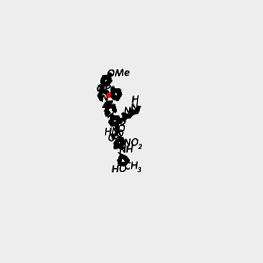 COc1ccc(OC2CCN(C3CC4(CCN(c5ccc(C(=O)NS(=O)(=O)c6ccc(NC[C@H]7CC[C@](C)(O)CC7)c([N+](=O)[O-])c6)c(Oc6cnc7[nH]ccc7c6)c5)CC4)C3)C(c3ccccc3C(C)C)C2)cc1